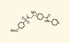 COc1ccc(S(=O)(=O)N(C)C[C@@H](N)c2ccc(C(=O)Nc3ccncc3)cc2)cc1